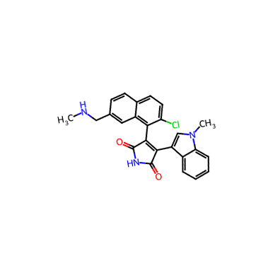 CNCc1ccc2ccc(Cl)c(C3=C(c4cn(C)c5ccccc45)C(=O)NC3=O)c2c1